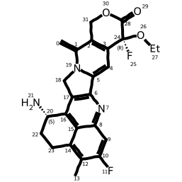 C=C1C2=C(C=C3c4nc5cc(F)c(C)c6c5c(c4CN13)[C@@H](N)CC6)[C@](F)(OCC)C(=O)OC2